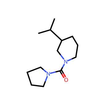 CC(C)C1CCCN(C(=O)N2CCCC2)C1